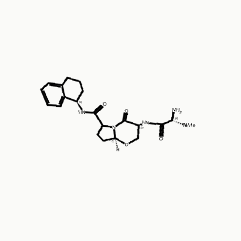 CN[C@@H](N)C(=O)N[C@H]1CO[C@H]2CCC(C(=O)N[C@@H]3CCCc4ccccc43)N2C1=O